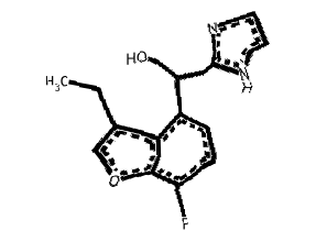 CCc1coc2c(F)ccc(C(O)c3ncc[nH]3)c12